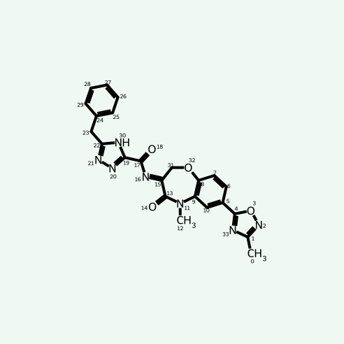 Cc1noc(-c2ccc3c(c2)N(C)C(=O)/C(=N/C(=O)c2nnc(Cc4ccccc4)[nH]2)CO3)n1